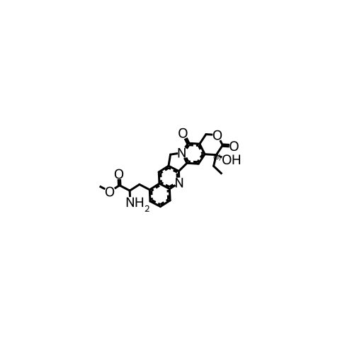 CC[C@@]1(O)C(=O)OCc2c1cc1n(c2=O)Cc2cc3c(CC(N)C(=O)OC)cccc3nc2-1